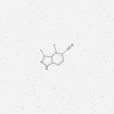 N#Cc1ccc2[nH]nc(I)c2c1F